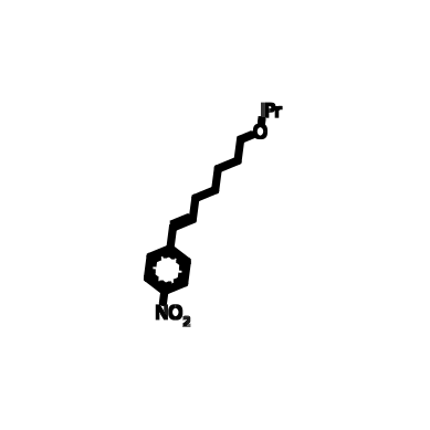 CC(C)OCCCCCC=Cc1ccc([N+](=O)[O-])cc1